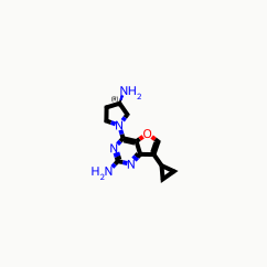 Nc1nc(N2CC[C@@H](N)C2)c2occ(C3CC3)c2n1